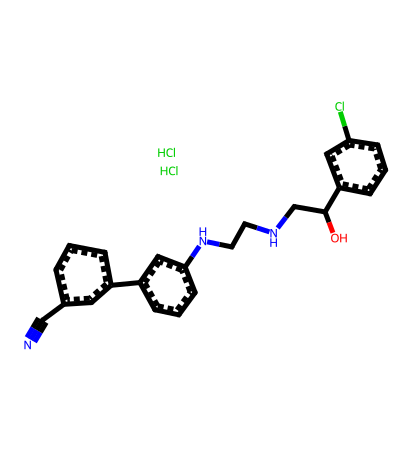 Cl.Cl.N#Cc1cccc(-c2cccc(NCCNCC(O)c3cccc(Cl)c3)c2)c1